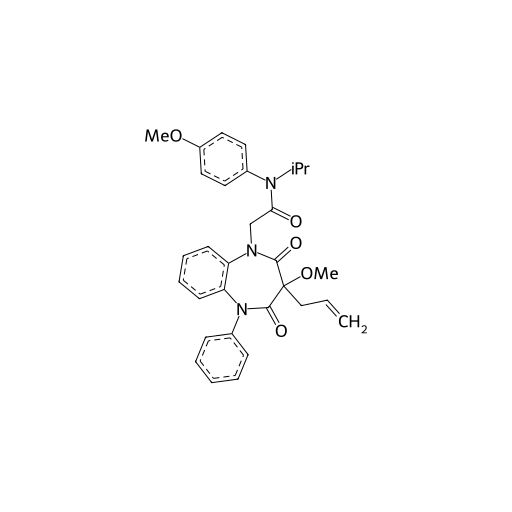 C=CCC1(OC)C(=O)N(CC(=O)N(c2ccc(OC)cc2)C(C)C)c2ccccc2N(c2ccccc2)C1=O